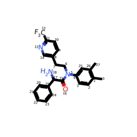 Cc1ccc(N(CCc2ccc(C(F)(F)F)nc2)C(=O)C(N)c2ccccc2)cc1C